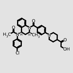 CC(=O)N(c1ccc(Cl)cc1)[C@@H]1C[C@H](C)N(C(=O)c2ccc(N3CCC(C(=O)CO)CC3)cc2)c2ccccc21